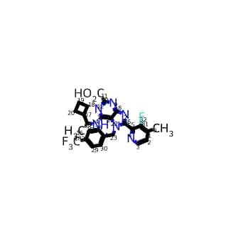 Cc1ccnc(-c2nc3nc(C(=O)O)nc(N[C@H](C)C4CCC4)c3n2Cc2ccc(C(F)(F)F)cc2)c1F